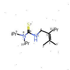 CC(C)=C(CNC(=S)N(C(C)C)C(C)C)C(C)C